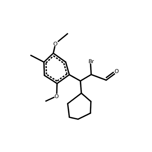 COc1cc(C(C(Br)C=O)C2CCCCC2)c(OC)cc1C